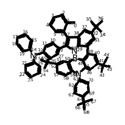 Cc1ccccc1-c1c(-c2ccc(N(c3ccccc3)c3ccccc3)cc2)n2c3c(cc(C(C)(C)C)cc13)-c1cc(C(C)(C)C)cc3c1B2c1cc(C(C)(C)C)ccc1N3c1ccc(C(C)(C)C)cc1